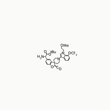 COCCn1cc(N2CCC3(CC2)C(=C=O)Oc2ccc(C(N)C(=O)OC(C)(C)C)cc23)c2cccc(OC(F)(F)F)c21